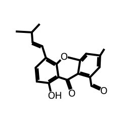 Cc1cc(C=O)c2c(=O)c3c(O)ccc(C=CC(C)C)c3oc2c1